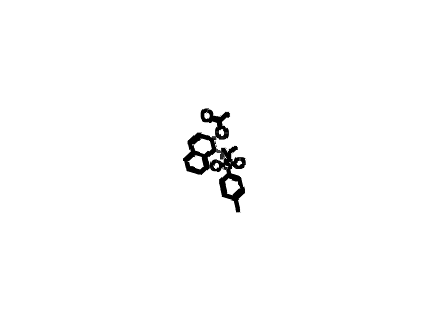 CC(=O)O[C@H]1C=Cc2ccccc2[C@H]1N(C)S(=O)(=O)c1ccc(C)cc1